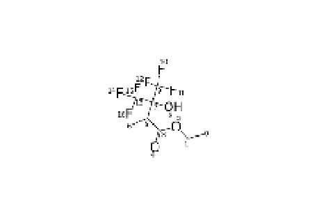 CCOC(=O)C(C)C(O)(C(F)(F)F)C(F)(F)F